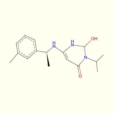 Cc1cccc([C@H](C)NC2=CC(=O)N(C(C)C)C(O)N2)c1